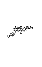 COc1ccc(C(=O)C=Cc2ccccc2CN2CCN(C)CC2)c(OC)c1